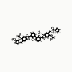 Cc1c(-c2nc3cc(COC(=O)[C@@H]4CCCN4)c(OC(F)F)cc3o2)cccc1-c1cccc(-c2nc3cc(CN4CCC(O)C4)c(OC(F)F)cc3o2)c1C